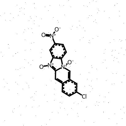 O=[N+]([O-])c1ccc2c(c1)[N+]([O-])=C1C=c3ccc(Cl)cc3=C[N+]12[O-]